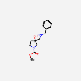 CC(C)(C)OC(=O)N1CC[C@](O)(CNCc2ccccc2)C1